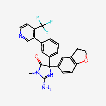 CN1C(=O)C(c2cccc(-c3cnccc3C(F)(F)F)c2)(c2ccc3c(c2)CCO3)N=C1N